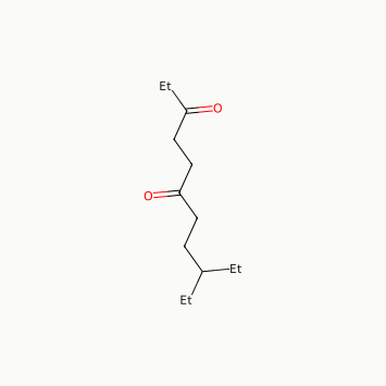 CCC(=O)CCC(=O)CCC(CC)CC